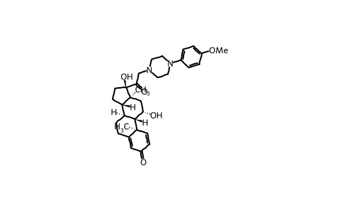 COc1ccc(N2CCN(CC(=O)[C@@]3(O)CC[C@H]4[C@@H]5CCC6=CC(=O)C=C[C@]6(C)[C@H]5[C@@H](O)C[C@@]43C)CC2)cc1